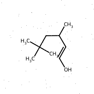 CC(C=CO)CC(C)(C)C